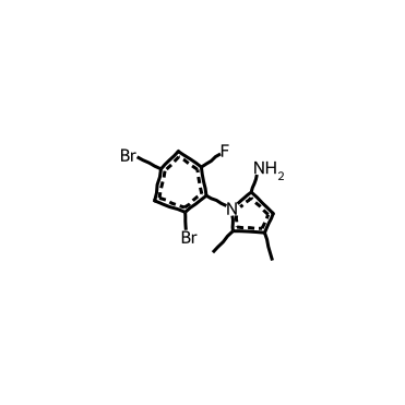 Cc1cc(N)n(-c2c(F)cc(Br)cc2Br)c1C